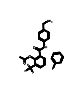 CC(=O)Oc1c(C(=O)Nc2ccc(CN)cc2)cccc1C(F)(F)F.Fc1ccccc1